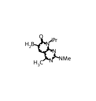 Bc1cc2c(C)nc(NC)nc2n(C(C)C)c1=O